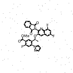 COC(=O)c1cc([C@H](C)Oc2cc3cc(F)cc(F)c3nc2N2C(=O)c3ccccc3C2=O)c(-n2cccn2)cc1F